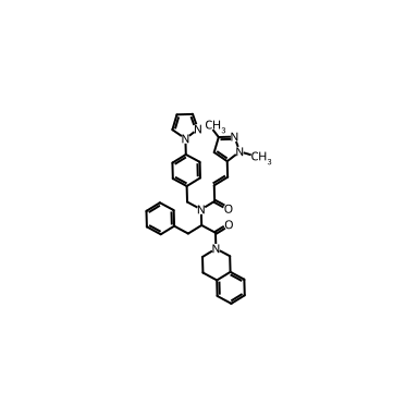 Cc1cc(C=CC(=O)N(Cc2ccc(-n3cccn3)cc2)C(Cc2ccccc2)C(=O)N2CCc3ccccc3C2)n(C)n1